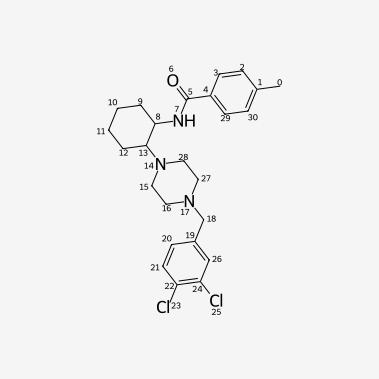 Cc1ccc(C(=O)NC2CCCCC2N2CCN(Cc3ccc(Cl)c(Cl)c3)CC2)cc1